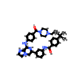 CCN1CCN(C(=O)c2ccc(Nc3nc(-c4cccc(NC(=O)c5ccc(C(C)(C)C)cc5)c4)cn4ccnc34)cc2)CC1